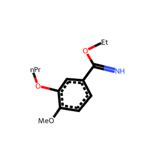 CCCOc1cc(C(=N)OCC)ccc1OC